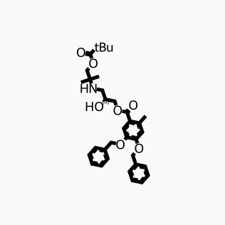 Cc1cc(OCc2ccccc2)c(OCc2ccccc2)cc1C(=O)OC[C@@H](O)CNC(C)(C)COC(=O)C(C)(C)C